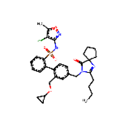 CCCCC1=NC2(CCCC2)C(=O)N1Cc1ccc(-c2ccccc2S(=O)(=O)Nc2noc(C)c2Cl)c(COC2CC2)c1